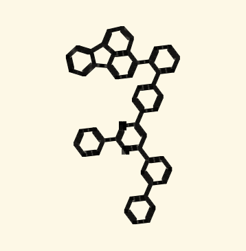 c1ccc(-c2cccc(-c3cc(-c4ccc(-c5ccccc5-c5ccc6c7c(cccc57)-c5ccccc5-6)cc4)nc(-c4ccccc4)n3)c2)cc1